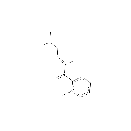 CCOC(=O)/C(=C\CN(C)C)C(=O)c1nccnc1Cl